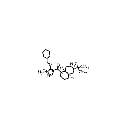 Cn1ncc(C(=O)N2CCC[C@@H]3C[C@H](C(C)(C)C)CC[C@@H]32)c1OCC1CCCCC1